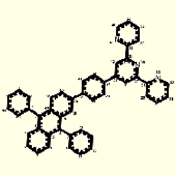 c1ccc(-c2c3ccccc3c(-c3ccccc3)c3cc(-c4ccc(-c5cc(-c6ccccn6)nc(-c6ccccn6)c5)cc4)ccc23)cc1